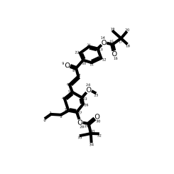 CCCc1cc(/C=C/C(=O)c2ccc(OC(=O)C(C)(C)C)cc2)c(OC)cc1OC(=O)C(C)(C)C